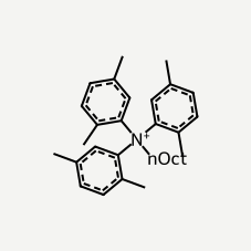 CCCCCCCC[N+](c1cc(C)ccc1C)(c1cc(C)ccc1C)c1cc(C)ccc1C